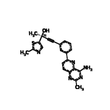 Cc1nc(N)c2nc(-c3cccc(C#C[C@](C)(O)c4cnc(C)s4)c3)ccc2n1